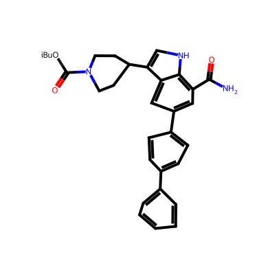 CC(C)COC(=O)N1CCC(c2c[nH]c3c(C(N)=O)cc(-c4ccc(-c5ccccc5)cc4)cc23)CC1